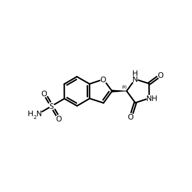 NS(=O)(=O)c1ccc2oc([C@H]3NC(=O)NC3=O)cc2c1